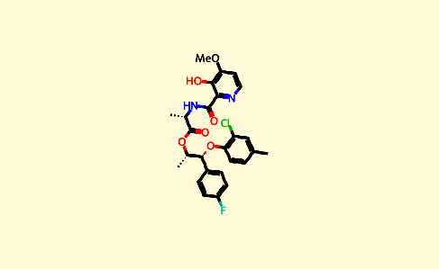 COc1ccnc(C(=O)N[C@@H](C)C(=O)O[C@@H](C)[C@H](Oc2ccc(C)cc2Cl)c2ccc(F)cc2)c1O